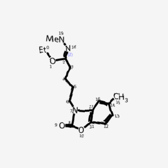 CCO/C(CCCCn1c(=O)oc2ccc(C)cc21)=N\NC